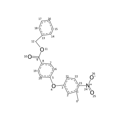 Cc1cc(Oc2ccc(C(=O)OCc3ccccc3)cc2)ccc1[N+](=O)[O-]